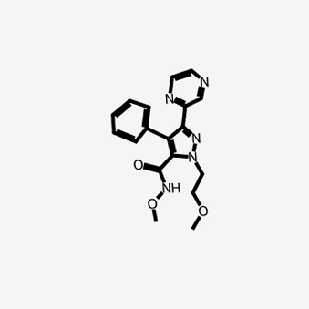 COCCn1nc(-c2cnccn2)c(-c2ccccc2)c1C(=O)NOC